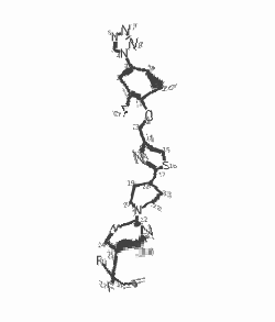 Fc1cc(-n2cnnn2)ccc1OCc1csc(C2CCN(c3ncc(C(F)(F)F)cn3)CC2)n1